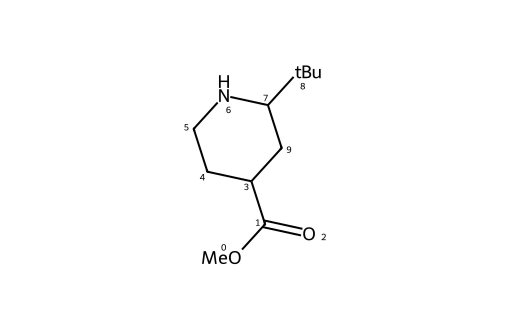 COC(=O)C1CCNC(C(C)(C)C)C1